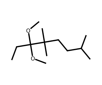 CCC(OC)(OC)C(C)(C)CCC(C)C